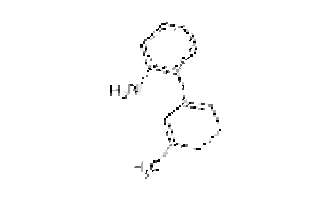 CC1=CC(c2ccccc2N)=CCC1